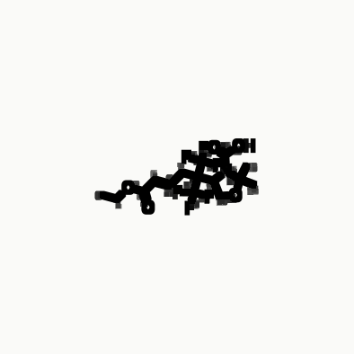 CCOC(=O)C=CCC(C1COC(C)(C)N1C(=O)O)(C(F)(F)F)C(F)(F)F